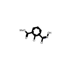 COC(=O)c1cccc(/C(Cl)=N\O)c1Cl